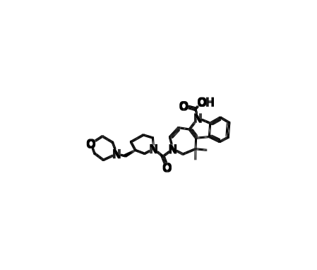 CC1(C)CN(C(=O)N2CCC[C@H](CN3CCOCC3)C2)C=Cc2c1c1ccccc1n2C(=O)O